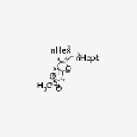 CCCCCCCC(CCCCCC)c1ccc(CS(C)(=O)=O)o1